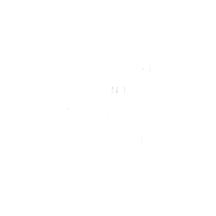 CCCC(CCC)C(=O)NC(C)C(=O)OC